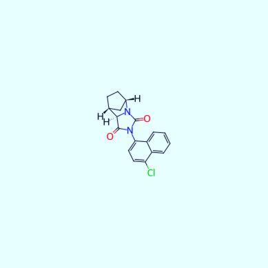 O=C1[C@H]2[C@@H]3CC[C@@H](C3)N2C(=O)N1c1ccc(Cl)c2ccccc12